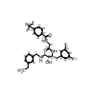 CCc1cccc(CNC[C@@H](O)[C@H](Cc2cc(F)cc(F)c2)NC(=O)CNC(=O)c2ccc(C(F)(F)F)cc2)c1